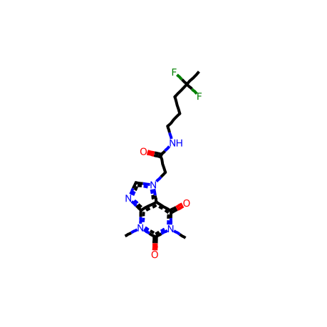 Cn1c(=O)c2c(ncn2CC(=O)NCCCC(C)(F)F)n(C)c1=O